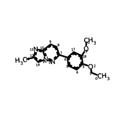 CCOc1ccc(-c2ccc3nc(C)cn3n2)cc1OC